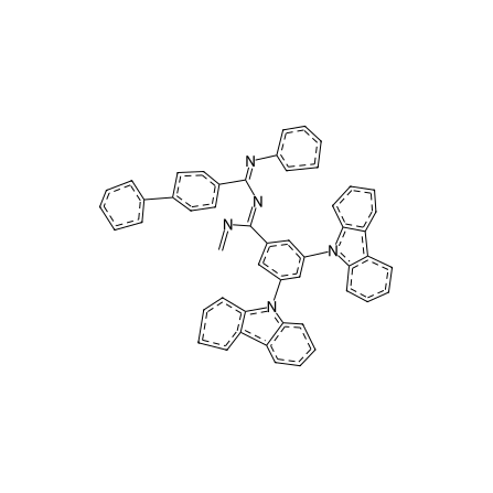 C=N/C(=N\C(=N/c1ccccc1)c1ccc(-c2ccccc2)cc1)c1cc(-n2c3ccccc3c3ccccc32)cc(-n2c3ccccc3c3ccccc32)c1